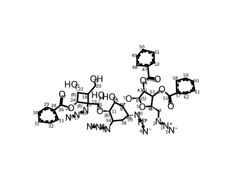 [N-]=[N+]=NC[C@H]1O[C@@H](O[C@H]2C(O)[C@H](O[C@@H](O)C3(N=[N+]=[N-])C(CO)[C@@H](O)[C@@H]3OC(=O)c3ccccc3)C(N=[N+]=[N-])C[C@H]2N=[N+]=[N-])[C@@H](OC(=O)c2ccccc2)C1OC(=O)c1ccccc1